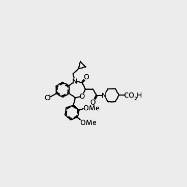 COc1cccc(C2OC(CC(=O)N3CCC(C(=O)O)CC3)C(=O)N(CC3CC3)c3ccc(Cl)cc32)c1OC